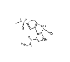 CCCN(C)C(=O)c1c[nH]c2c(=O)[nH]c3ccc(S(=O)(=O)N(C)C)cc3c12